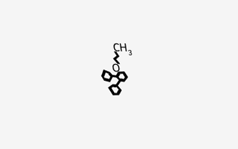 CCCCCOc1cccc(-c2ccccc2)c1-c1ccccc1